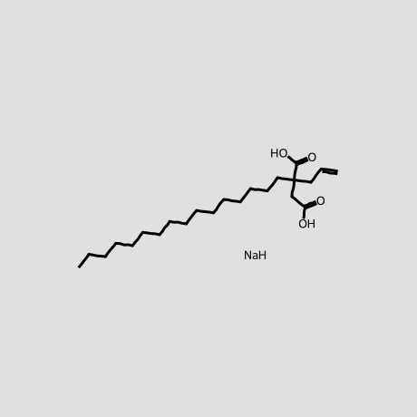 C=CCC(CCCCCCCCCCCCCCCC)(CC(=O)O)C(=O)O.[NaH]